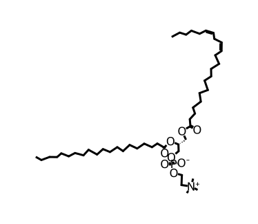 CCCCC/C=C\C/C=C\CCCCCCCCCCCC(=O)OC[C@H](COP(=O)([O-])OCC[N+](C)(C)C)OC(=O)CCCCCCCCCCCCCCCCCCC